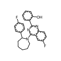 Oc1ccccc1-c1nc(N2CCCCCC2c2ccc(F)cc2)c2cc(F)ccc2n1